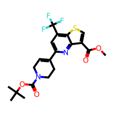 COC(=O)c1csc2c(C(F)(F)F)cc(C3=CCN(C(=O)OC(C)(C)C)CC3)nc12